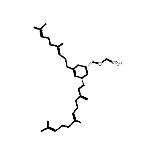 C=C(CC/C=C(\C)CCC=C(C)C)CC[C@H]1C=C(CC/C=C(\C)CCC=C(C)C)C[C@H](COCC(=O)O)C1